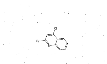 Clc1cc(Br)nc2ccccc12